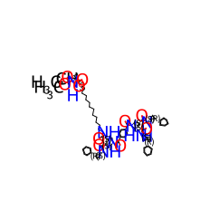 CC(C)(C)OC(=O)NC1(C(=O)OCCCCCCCCCCCCNC(=O)[C@@H]2CN(C(=O)c3ccc(C(=O)N4C[C@@H](C(=O)N[C@H]5C[C@@H]5c5ccccc5)[C@H](C(=O)N[C@H]5C[C@@H]5c5ccccc5)C4)cc3)C[C@H]2C(=O)N[C@H]2C[C@@H]2c2ccccc2)CC1